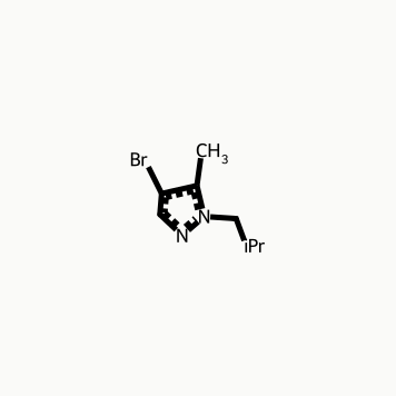 Cc1c(Br)cnn1CC(C)C